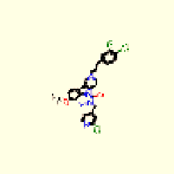 O=C(NCc1ccnc(Cl)c1)n1c2c(c3ccc(OC(F)(F)F)cc31)CN(CC=Cc1ccc(Cl)c(F)c1)CC2